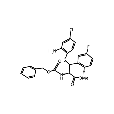 COC(=O)[C@@H](NC(=O)OCc1ccccc1)C(Sc1ccc(Cl)cc1N)c1cc(F)ccc1F